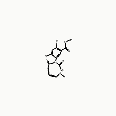 CC(C)OC(=O)c1cc(-n2c(=S)ccccn(C)[nH]c2=O)c(F)cc1Cl